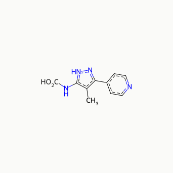 Cc1c(-c2ccncc2)n[nH]c1NC(=O)O